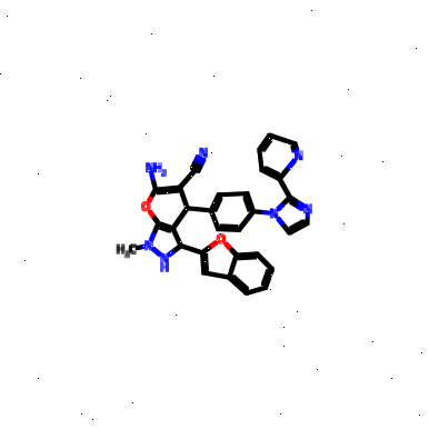 CN1NC(c2cc3ccccc3o2)C2=C1OC(N)=C(C#N)C2c1ccc(-n2ccnc2-c2ccccn2)cc1